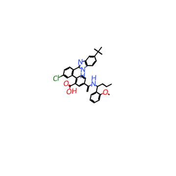 C=C(NC(CCC)c1ccccc1OC)c1ccc(-c2cc(Cl)ccc2-c2nc3cc(C(C)(C)C)ccc3[nH]2)c(C(=O)O)c1